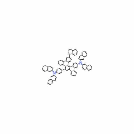 C1=Cc2cc(N(c3ccc(-c4cc(-c5ccccc5)c(-c5ccc(N(c6ccc7c(c6)CCC=C7)c6ccc7ccccc7c6)cc5)c5c6ccc(C7CC=Cc8ccccc87)cc6c6ccccc6c45)cc3)c3ccc4ccccc4c3)ccc2CC1